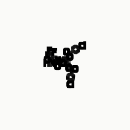 O=C(OC[C@H]1O[C@@H](n2cc(C(F)(F)F)c(=O)[nH]c2=O)C[C@@H]1OC(=O)c1ccc(Cl)cc1)c1ccc(Cl)cc1